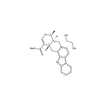 COC(=O)C1=CO[C@@H](C)[C@H]2C[n+]3ccc4c([n-]c5ccccc54)c3C[C@H]12.OCCO